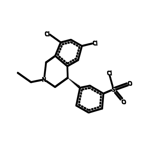 CCN1Cc2c(Cl)cc(Cl)cc2[C@H](c2cccc(S(=O)(=O)Cl)c2)C1